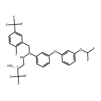 O[C@H](CNN(Cc1cc(C(F)(F)F)ccc1F)c1cccc(Oc2cccc(OC(F)F)c2)c1)C(F)(F)F